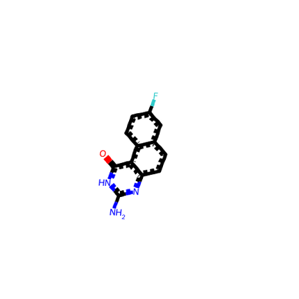 Nc1nc2ccc3cc(F)ccc3c2c(=O)[nH]1